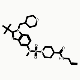 C=CCNC(=O)C1CCN(S(=O)(=O)N(C)c2ccc3c(c2)nc(C(C)(C)C)n3CC2CCOCC2)CC1